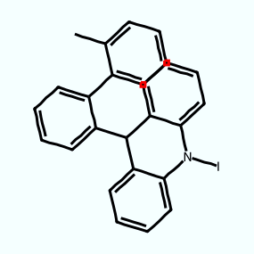 Cc1ccccc1-c1ccccc1C1c2ccccc2N(I)c2ccccc21